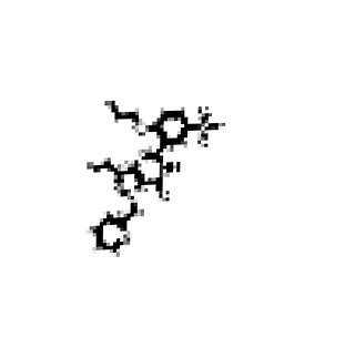 CCCOc1ccc(S(C)(=O)=O)cc1-c1nc2c(CC)nn(Cc3ccccn3)c2c(=O)[nH]1